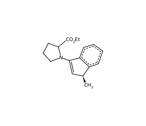 CCOC(=O)C1CCCN1C1=C[C@H](C)c2ccccc21